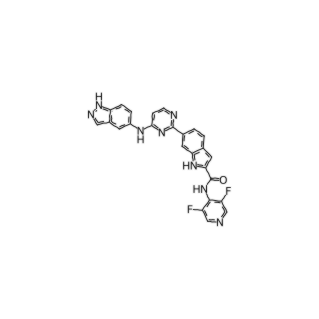 O=C(Nc1c(F)cncc1F)c1cc2ccc(-c3nccc(Nc4ccc5[nH]ncc5c4)n3)cc2[nH]1